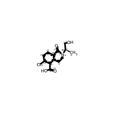 C[C@H](CO)n1ccc2c(C(=O)O)c(Cl)ccc2c1=O